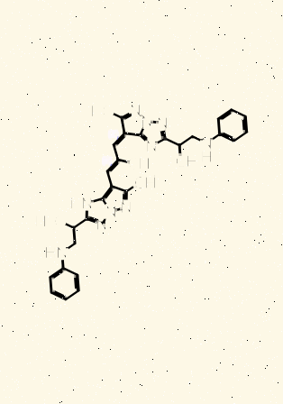 CC(/C=c1/c(C)nn2nc(C(C)CNc3ccccc3)nc12)=C\c1c(C)nn2nc(C(C)CNc3ccccc3)[nH]c12